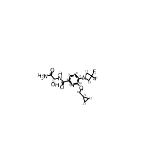 NC(=O)[C@@H](O)NC(=O)c1ccc(N2CC(F)(F)C2)c(OCC2CC2)n1